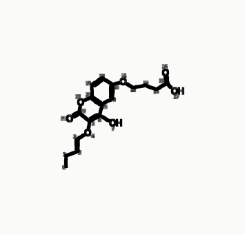 CCC=COc1c(O)c2cc(OCCCC(=O)O)ccc2oc1=O